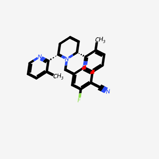 Cc1cccnc1[C@H]1CCC[C@@H](c2ncccc2C)N1Cc1ccc(C#N)c(F)c1